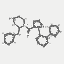 O=C(c1ccsc1-c1ccccc1-c1ccccc1)N1CCNCC1Cc1ccccc1